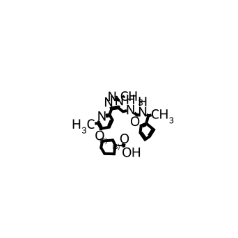 Cc1nc(-c2nnn(C)c2CNC(=O)NC(C)c2ccccc2)ccc1O[C@H]1CCC[C@H](C(=O)O)C1